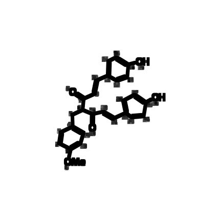 COc1ccc(CC(C(=O)/C=C/c2ccc(O)cc2)C(=O)/C=C/c2ccc(O)cc2)cc1